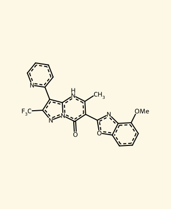 COc1cccc2oc(-c3c(C)[nH]c4c(-c5ccccn5)c(C(F)(F)F)nn4c3=O)nc12